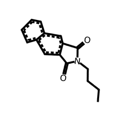 CCCCN1C(=O)c2cc3ccccc3cc2C1=O